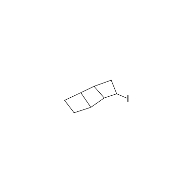 IC1CC2C3CCC3C12